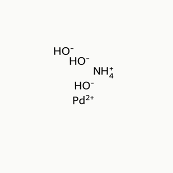 [NH4+].[OH-].[OH-].[OH-].[Pd+2]